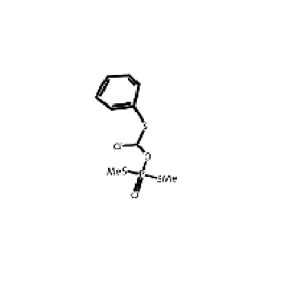 CSP(=O)(OC(Cl)Sc1ccccc1)SC